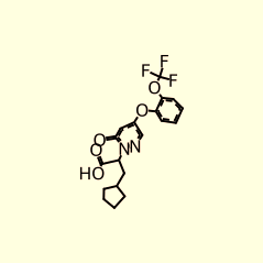 O=C(O)C(CC1CCCC1)n1ncc(Oc2ccccc2OC(F)(F)F)cc1=O